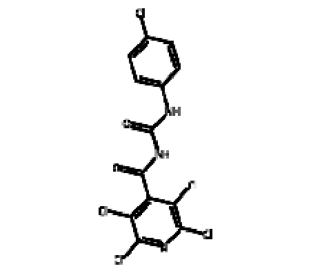 O=C(NC(=O)c1c(Cl)c(Cl)nc(Cl)c1Cl)Nc1ccc(Cl)cc1